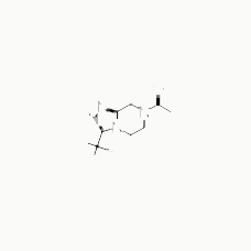 CC(=O)N1CCn2c(nnc2C(F)(F)F)C1